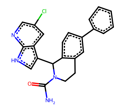 NC(=O)N1CCc2cc(-c3ccccc3)ccc2C1c1c[nH]c2ncc(Cl)cc12